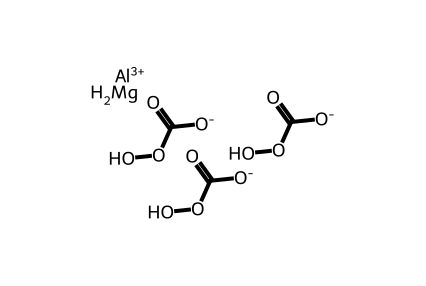 O=C([O-])OO.O=C([O-])OO.O=C([O-])OO.[Al+3].[MgH2]